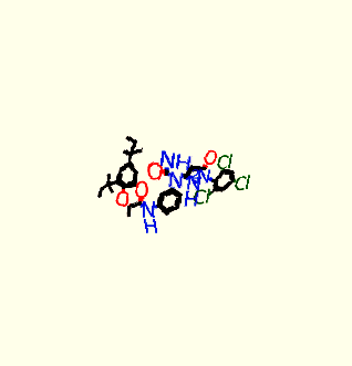 CCC(C)(C)c1ccc(OC(C)C(=O)Nc2cccc(N(C(N)=O)c3cc(=O)n(-c4c(Cl)cc(Cl)cc4Cl)[nH]3)c2)c(C(C)(C)CC)c1